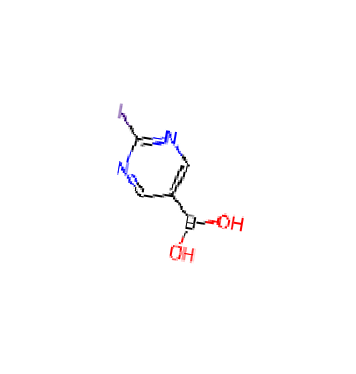 OB(O)c1cnc(I)nc1